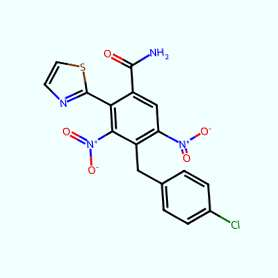 NC(=O)c1cc([N+](=O)[O-])c(Cc2ccc(Cl)cc2)c([N+](=O)[O-])c1-c1nccs1